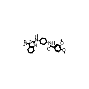 COc1ccc(C(=O)N[C@H]2CC[C@@H](Nc3nc4c(c(N(C)C)n3)CCCC4)CC2)cc1OC